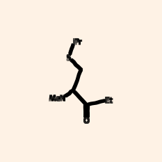 CCC(=O)C(CSC(C)C)NC